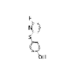 Oc1ccc(Sc2cccc(F)n2)cc1